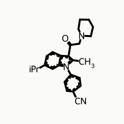 Cc1c(C(=O)CN2CCCCC2)c2ccc(C(C)C)cc2n1-c1ccc(C#N)cc1